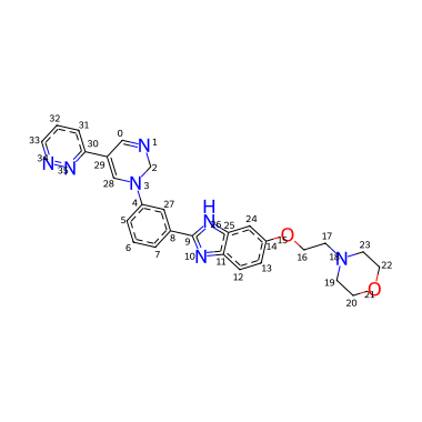 C1=NCN(c2cccc(-c3nc4ccc(OCCN5CCOCC5)cc4[nH]3)c2)C=C1c1cccnn1